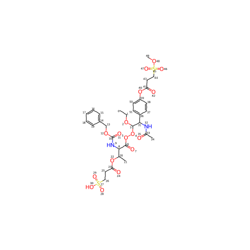 CCOC(OOC(=O)C(NC(=O)OCc1ccccc1)C(C)OC(=O)CCS(=O)(=O)O)C(NC(C)=O)c1ccc(OC(=O)CCS(=O)(=O)OC)cc1